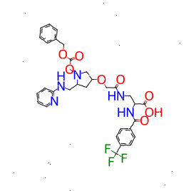 O=C(COC1CC(CNc2ccccn2)N(OC(=O)OCc2ccccc2)C1)NCC(NC(=O)c1ccc(C(F)(F)F)cc1)C(=O)O